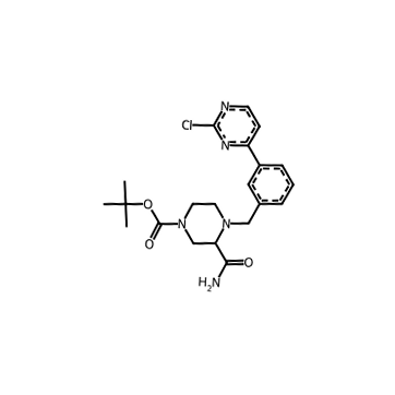 CC(C)(C)OC(=O)N1CCN(Cc2cccc(-c3ccnc(Cl)n3)c2)C(C(N)=O)C1